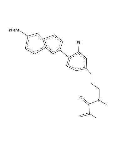 C=C(C)C(=O)N(C)CCCc1ccc(-c2ccc3cc(CCCCC)ccc3c2)c(CC)c1